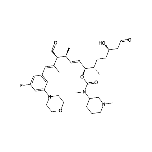 C/C(=C\c1cc(F)cc(N2CCOCC2)c1)[C@@H](C=O)[C@@H](C)/C=C/[C@H](OC(=O)N(C)C1CCCN(C)C1)[C@@H](C)CC[C@@H](O)CC=O